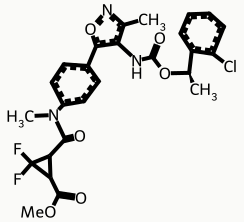 COC(=O)C1C(C(=O)N(C)c2ccc(-c3onc(C)c3NC(=O)O[C@H](C)c3ccccc3Cl)cc2)C1(F)F